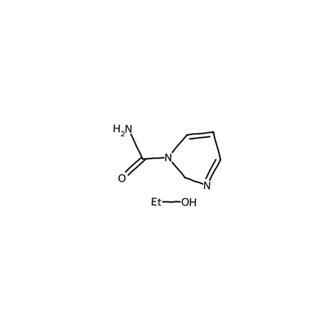 CCO.NC(=O)N1C=CC=NC1